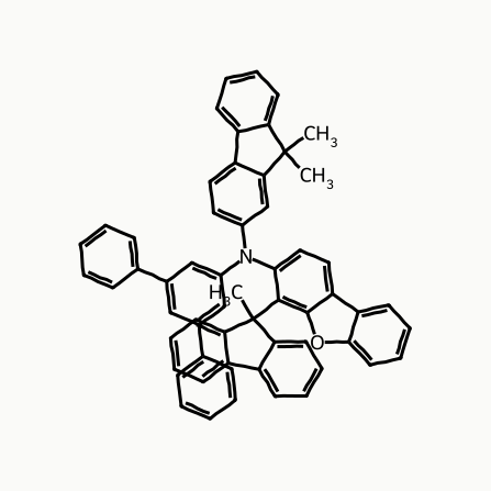 CC1(C)c2ccccc2-c2ccc(N(c3cc(-c4ccccc4)cc(-c4ccccc4)c3)c3ccc4c(oc5ccccc54)c3C3(C)c4ccccc4-c4ccccc43)cc21